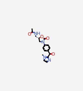 CC(=O)NC[C@H]1CN(c2ccc(C(=O)c3nccn3C)cc2)C(=O)O1